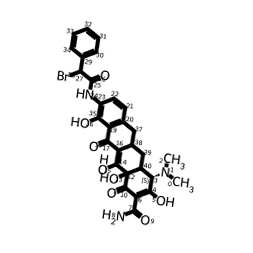 CN(C)[C@@H]1C(O)=C(C(N)=O)C(=O)C2(O)C(O)=C3C(=O)c4c(ccc(NC(=O)C(Br)c5ccccc5)c4O)CC3CC12